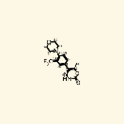 C[C@H]1OC(=O)NN=C1c1ccc(N2CCOCC2)c(C(F)(F)F)c1